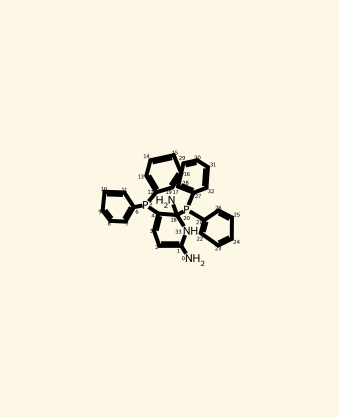 NC1=CC=C(P(c2ccccc2)c2ccccc2)C(N)(P(c2ccccc2)c2ccccc2)N1